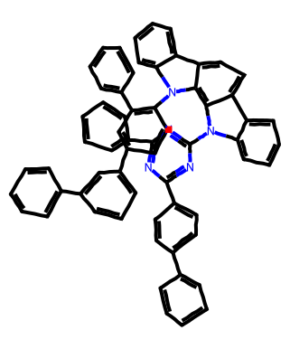 c1ccc(-c2ccc(-c3nc(-c4ccccc4)nc(-n4c5ccccc5c5ccc6c7ccccc7n(-c7ccc(-c8cccc(-c9ccccc9)c8)cc7-c7ccccc7)c6c54)n3)cc2)cc1